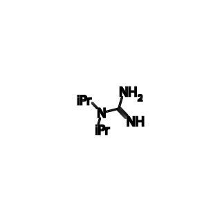 CC(C)N(C(=N)N)C(C)C